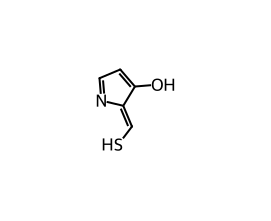 OC1=CC=NC1=CS